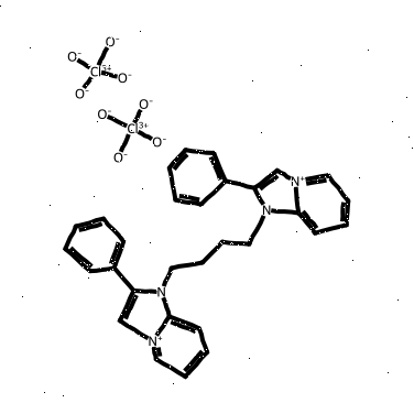 [O-][Cl+3]([O-])([O-])[O-].[O-][Cl+3]([O-])([O-])[O-].c1ccc(-c2c[n+]3ccccc3n2CCCCn2c(-c3ccccc3)c[n+]3ccccc23)cc1